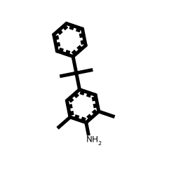 Cc1cc(C(C)(C)c2ccccc2)cc(C)c1N